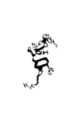 CCCOc1cc(C[C@H](NC(=O)OC(C)(C)C)[C@H]2CO2)ccc1[N+](=O)[O-]